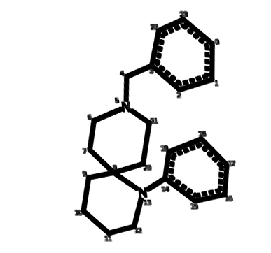 c1ccc(CN2CCC3(CCCCN3c3ccccc3)CC2)cc1